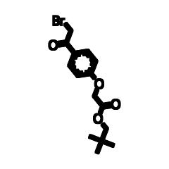 CC(C)(C)COC(=O)COc1ccc(C(=O)CBr)cc1